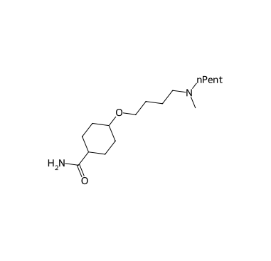 CCCCCN(C)CCCCOC1CCC(C(N)=O)CC1